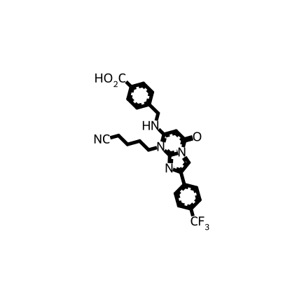 N#CCCCCn1c(NCc2ccc(C(=O)O)cc2)cc(=O)n2cc(-c3ccc(C(F)(F)F)cc3)nc12